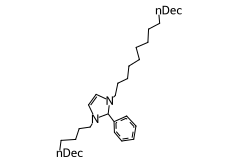 CCCCCCCCCCCCCCCCCCCN1C=CN(CCCCCCCCCCCCCC)C1c1ccccc1